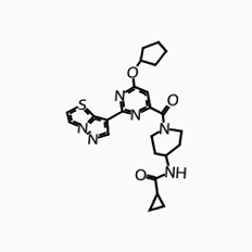 O=C(NC1CCN(C(=O)c2cc(OC3CCCC3)nc(-c3cnn4ccsc34)n2)CC1)C1CC1